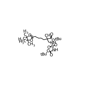 CC(C)(C)OC(=O)NS(=O)(=O)NCC(C)(CCCCB1OC(C)(C)C(C)(C)O1)C(=O)OC(C)(C)C